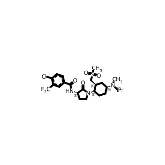 CC(C)N(C)[C@@H]1CC[C@H](N2CC[C@H](NC(=O)c3ccc(Cl)c(C(F)(F)F)c3)C2=O)[C@@H](CS(C)(=O)=O)C1